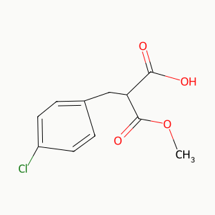 COC(=O)C(Cc1ccc(Cl)cc1)C(=O)O